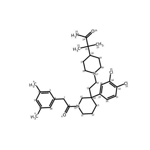 Cc1cc(C)cc(CC(=O)N2CCCC(CCN3CCC(C(C)(C)C(N)=O)CC3)(c3ccc(Cl)c(Cl)c3)C2)c1